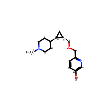 O=C(O)N1CCC([C@H]2C[C@@H]2COCc2ccc(Br)cn2)CC1